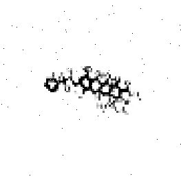 CN(C)[C@@H]1C(O)=C(C(N)=O)C(=O)[C@@]2(O)C(O)=C3C(=O)c4c(O)cc(CNC(C)(C)c5ccccc5)c(Cl)c4C[C@H]3C[C@@H]12